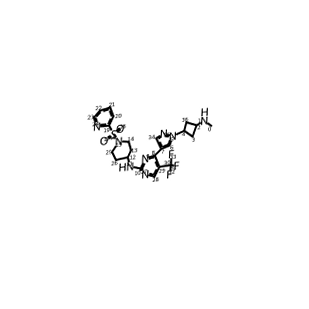 CNC1CC(n2cc(-c3nc(NC4CCN(S(=O)(=O)c5ccccn5)CC4)ncc3C(F)(F)F)cn2)C1